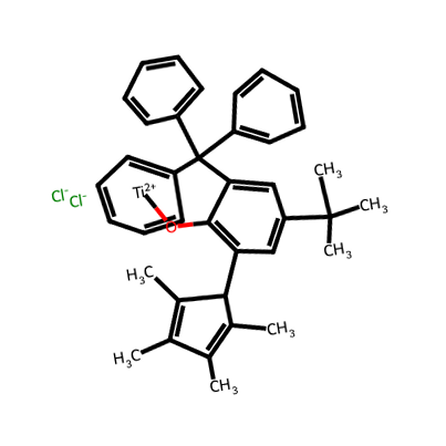 CC1=C(C)C(c2cc(C(C)(C)C)cc(C(c3ccccc3)(c3ccccc3)c3ccccc3)c2[O][Ti+2])C(C)=C1C.[Cl-].[Cl-]